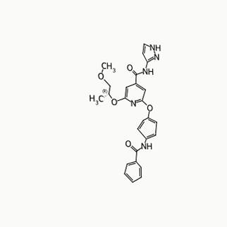 COC[C@@H](C)Oc1cc(C(=O)Nc2cc[nH]n2)cc(Oc2ccc(NC(=O)c3ccccc3)cc2)n1